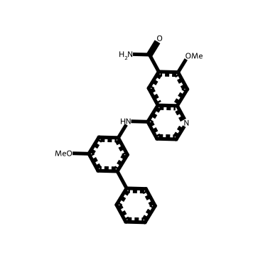 COc1cc(Nc2ccnc3cc(OC)c(C(N)=O)cc23)cc(-c2ccccc2)c1